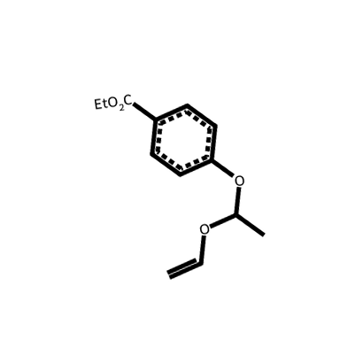 C=COC(C)Oc1ccc(C(=O)OCC)cc1